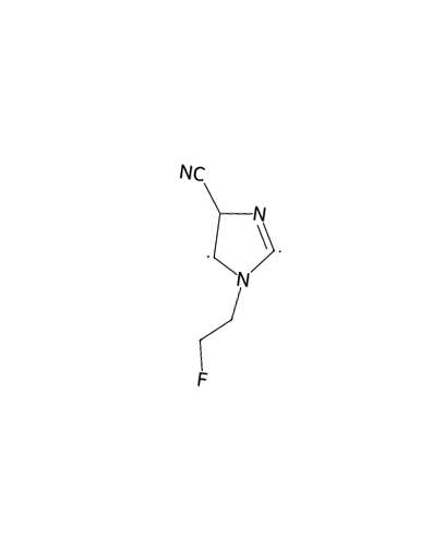 N#CC1[CH]N(CCF)[C]=N1